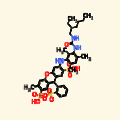 C=c1cc2c(cc1S(=O)(=O)O)=C(c1ccccc1S(=O)(=O)O)c1cc(S(=O)(=O)O)c(Nc3c(C)cc(C)c(NC(=O)NCC(CC)CCCC)c3C)cc1O2